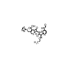 CCO/N=C(\C(=O)NC1C(=O)N2C(C(=O)O)=C(CSc3nncs3)CS[C@H]12)c1nccc(NC=O)n1